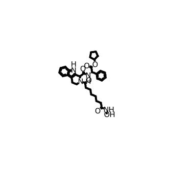 O=C(CCCCCCC(=O)N1CCc2c([nH]c3ccccc23)C1C(=O)N[C@H](C(=O)OC1CCCC1)c1ccccc1)NO